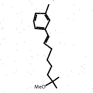 COC(C)(C)CCCC/C=C/c1cccc(C)c1